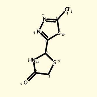 O=C1CSC(c2nnc(C(F)(F)F)s2)N1